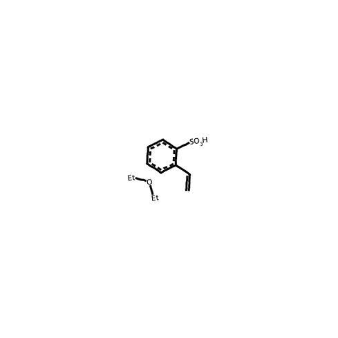 C=Cc1ccccc1S(=O)(=O)O.CCOCC